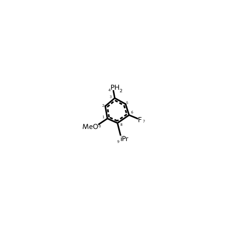 COc1cc(P)cc(F)c1C(C)C